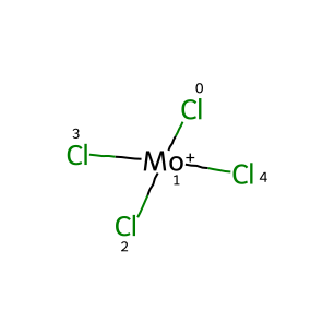 [Cl][Mo+]([Cl])([Cl])[Cl]